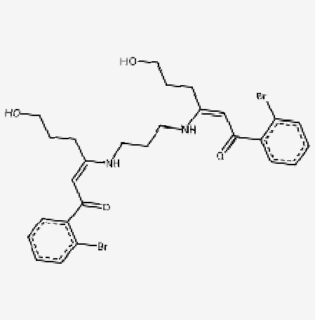 O=C(/C=C(/CCCO)NCCCN/C(=C\C(=O)c1ccccc1Br)CCCO)c1ccccc1Br